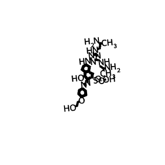 CC(N)CNc1nc(NCC(C)N)nc(Nc2ccc3c(O)c(N=Nc4ccc(OCCO)cc4)c(SOOO)cc3c2)n1